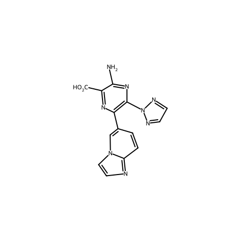 Nc1nc(-n2nccn2)c(-c2ccc3nccn3c2)nc1C(=O)O